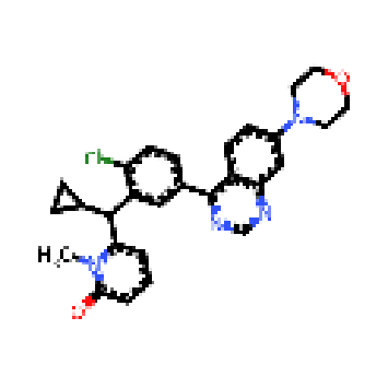 Cn1c(C(c2cc(-c3ncnc4cc(N5CCOCC5)ccc34)ccc2Cl)C2CC2)cccc1=O